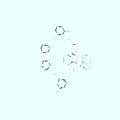 CCC1(OC(=O)COc2c(I)cc(I)cc2COc2ccc([I+]c3ccc(OCc4cc(I)cc(I)c4OCC(=O)OC4(CC)C5CC6CC(C5)CC4C6)cc3)cc2)C2CC3CC(C2)CC1C3